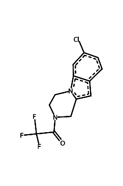 O=C(N1CCn2c(cc3ccc(Cl)cc32)C1)C(F)(F)F